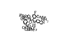 COC(=O)N(OC(=O)C(F)(F)F)c1ccc(S(=O)(=O)C(C)C)c([C@H]2CCCN2C(=O)[C@@H](Nc2ccc3c(N)nccc3c2)c2ccc(F)c(OC)c2)c1